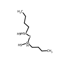 CCC[CH2][SnH]([SH])[S][SnH]([SH])[CH2]CCC